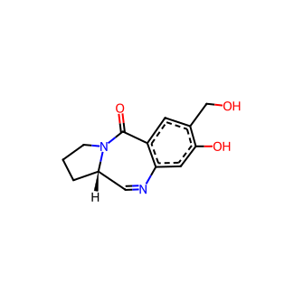 O=C1c2cc(CO)c(O)cc2N=C[C@@H]2CCCN12